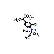 C#CC(C)(C)Nc1ccc(C(C)C(=O)OCC)cc1Cl